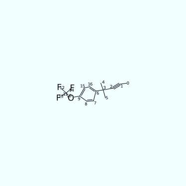 CC#CC(C)(C)c1ccc(OC(F)(F)F)cc1